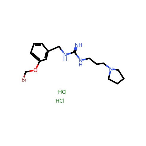 Cl.Cl.N=C(NCCCN1CCCC1)NCc1cccc(OCBr)c1